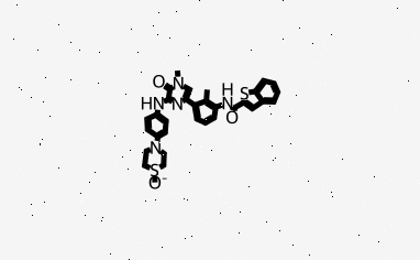 Cc1c(NC(=O)c2cc3ccccc3s2)cccc1-c1cn(C)c(=O)c(Nc2ccc(N3CC[S+]([O-])CC3)cc2)n1